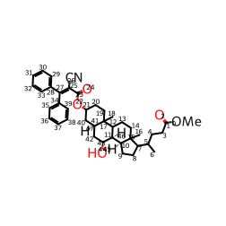 COC(=O)CCC(C)C1CC[C@H]2[C@@H]3C(CCC12C)C1(C)CCC(OC(=O)C(C#N)=C(c2ccccc2)c2ccccc2)C[C@@H]1C[C@@H]3O